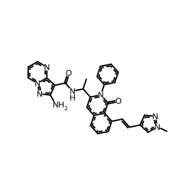 CC(NC(=O)c1c(N)nn2cccnc12)c1cc2cccc(/C=C/c3cnn(C)c3)c2c(=O)n1-c1ccccc1